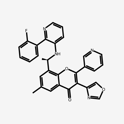 Cc1cc([C@@H](C)Nc2cccnc2-c2ccccc2F)c2oc(-c3cccnc3)c(-c3cocn3)c(=O)c2c1